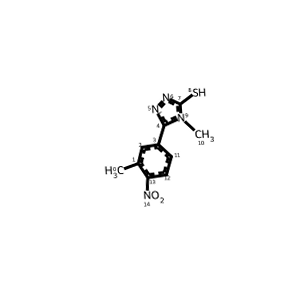 Cc1cc(-c2nnc(S)n2C)ccc1[N+](=O)[O-]